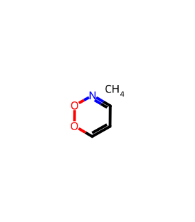 C.C1=COON=C1